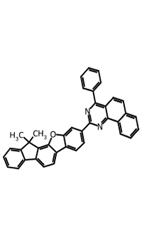 CC1(C)c2ccccc2-c2ccc3c(oc4cc(-c5nc(-c6ccccc6)c6ccc7ccccc7c6n5)ccc43)c21